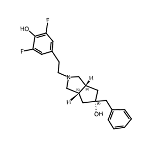 Oc1c(F)cc(CCN2C[C@@H]3C[C@@](O)(Cc4ccccc4)C[C@@H]3C2)cc1F